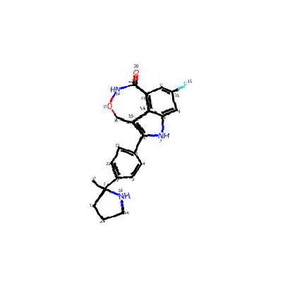 CC1(c2ccc(-c3[nH]c4cc(F)cc5c4c3CONC5=O)cc2)CCCN1